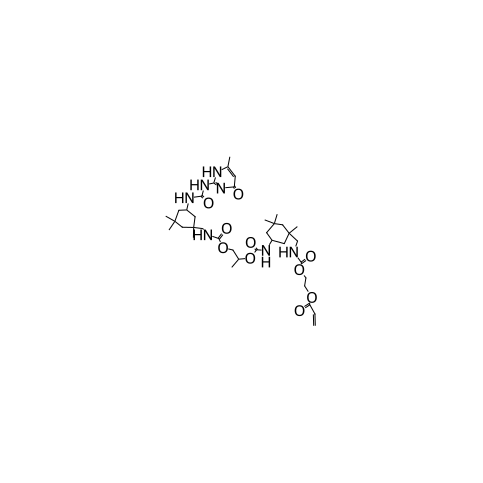 C=CC(=O)OCCOC(=O)NCC1(C)CC(NC(=O)OC(C)COC(=O)NCC2(C)CC(NC(=O)Nc3nc(=O)cc(C)[nH]3)CC(C)(C)C2)CC(C)(C)C1